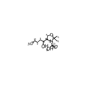 CC1(C)OC[C@H](C(O)CCCO)N1C(=O)O